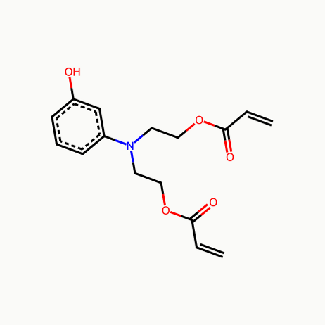 C=CC(=O)OCCN(CCOC(=O)C=C)c1cccc(O)c1